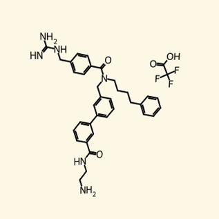 N=C(N)NCc1ccc(C(=O)N(CCCCc2ccccc2)Cc2cccc(-c3cccc(C(=O)NCCN)c3)c2)cc1.O=C(O)C(F)(F)F